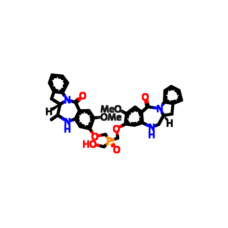 COc1cc2c(cc1OCP(=O)(CO)COc1cc3c(cc1OC)C(=O)N1c4ccccc4C[C@H]1C(C)N3)NC[C@@H]1Cc3ccccc3N1C2=O